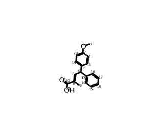 COc1ccc(C(C=C(C)C(=O)O)c2ccccc2)cc1